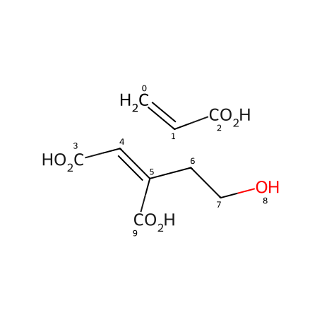 C=CC(=O)O.O=C(O)/C=C(/CCO)C(=O)O